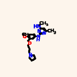 CNc1cc(C)nc(Nc2ccc(OC)c(COCCCN3CCCC3)c2)n1